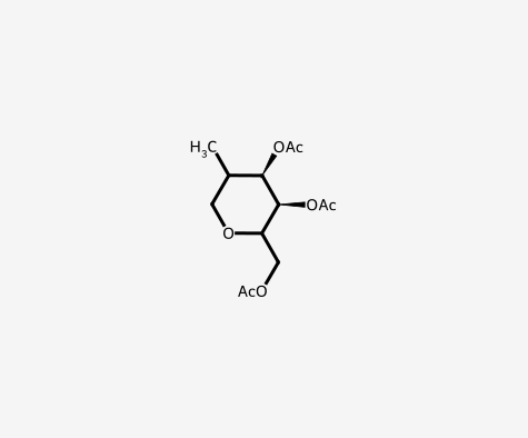 CC(=O)OCC1OCC(C)[C@@H](OC(C)=O)[C@H]1OC(C)=O